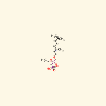 CCOP(=O)(COC/C=C(\C)CCC=C(C)C)CP(=O)(O)O